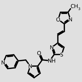 Cc1coc(C=Cc2csc(NC(=O)c3cccn3Cc3ccncc3)n2)n1